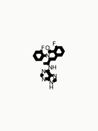 CC(Nc1ncnc2[nH]cnc12)c1cc2cccc(F)c2c(=O)n1-c1ccccc1F